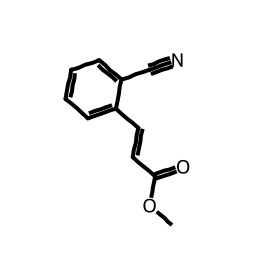 COC(=O)C=Cc1ccccc1C#N